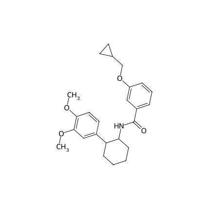 COc1ccc(C2CCCCC2NC(=O)c2cccc(OCC3CC3)c2)cc1OC